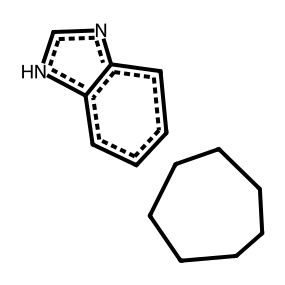 C1CCCCCC1.c1ccc2[nH]cnc2c1